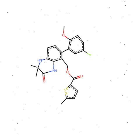 COc1ccc(F)cc1-c1ccc2c(c1COC(=O)c1ccc(C)s1)NC(=O)C(C)(C)N2